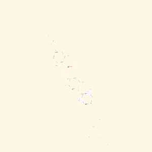 CCCCCCC=Cc1ccc(C(=O)Oc2ccc(-c3ncc(CCCCCC(C)CC)cn3)cc2)cc1